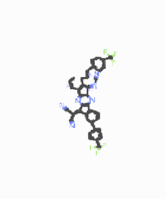 C/C=C\C1=C(C/C=C/c2ccc(C(F)(F)F)cc2)C(=N\C#N)/c2nc3c(nc21)C(=C(C#N)C#N)c1cc(-c2ccc(C(F)(F)F)cc2)ccc1-3